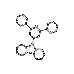 c1ccc(-c2cc(-n3c4ccccc4c4ccccc43)cc(-c3ccccc3)n2)cc1